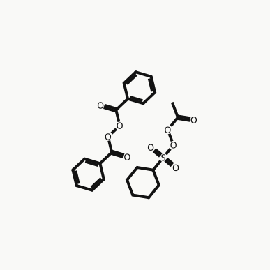 CC(=O)OOS(=O)(=O)C1CCCCC1.O=C(OOC(=O)c1ccccc1)c1ccccc1